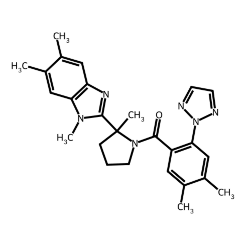 Cc1cc(C(=O)N2CCCC2(C)c2nc3cc(C)c(C)cc3n2C)c(-n2nccn2)cc1C